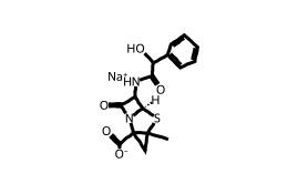 CC12CC1(C(=O)[O-])N1C(=O)C(NC(=O)C(O)c3ccccc3)[C@H]1S2.[Na+]